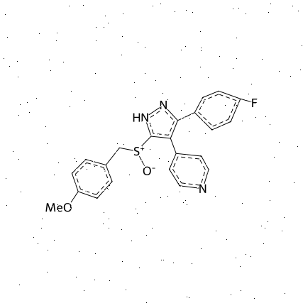 COc1ccc(C[S+]([O-])c2[nH]nc(-c3ccc(F)cc3)c2-c2ccncc2)cc1